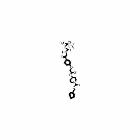 CC(C)(C)OC(=O)NCC(=O)c1ccc(OCC(=O)OC2CCN(C(=O)OCc3ccccc3)CC2)cc1